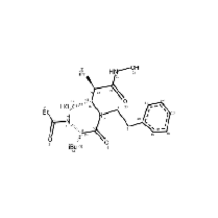 CCC(=O)N[C@H](C(=O)N(CCc1ccccc1)[C@H](C(=O)O)[C@H](C(=O)NO)C(C)C)[C@@H](C)CC